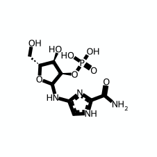 NC(=O)c1nc(NC2O[C@H](CO)[C@@H](O)[C@H]2OP(=O)(O)O)c[nH]1